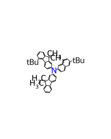 CC(C)(C)c1ccc2cc(N(c3ccc4c(c3)C(C)(C)c3ccccc3-4)c3ccc4c(c3)C(C)(C)c3cccc(C(C)(C)C)c3-4)ccc2c1